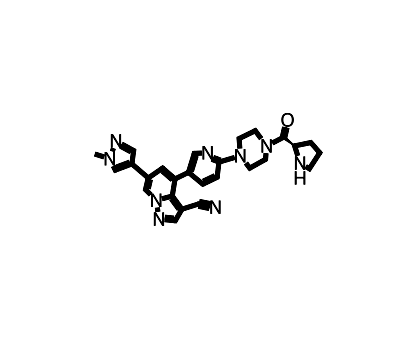 Cn1cc(-c2cc(-c3ccc(N4CCN(C(=O)[C@H]5CCCN5)CC4)nc3)c3c(C#N)cnn3c2)cn1